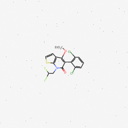 CCOC(=O)Oc1c(-c2c(Cl)cccc2Cl)c(=O)n(CC(F)F)c2sccc12